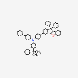 CC1(C)c2ccccc2-c2cc(N(c3ccc(-c4ccccc4)cc3)c3ccc(-c4ccc5c(c4)-c4oc6ccccc6c4C5(c4ccccc4)c4ccccc4)cc3)ccc21